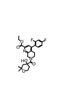 CCOC(=O)c1cc(-c2ccc(F)cc2F)c2c(n1)CN(C(=O)C1(O)CCOC(C)(C)C1)CC2